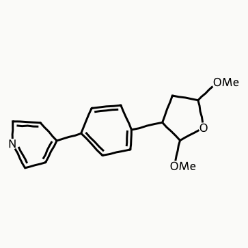 COC1CC(c2ccc(-c3ccncc3)cc2)C(OC)O1